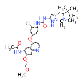 COCCOc1cc2nccc(Oc3ccc(NC(=O)Nc4cc(CC(N(C)C)C(C)(C)C)n[nH]4)c(Cl)c3)c2cc1NC(C)=O